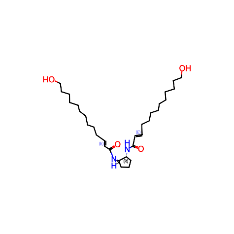 O=C(/C=C/CCCCCCCCCCO)N[C@H]1CCC[C@H]1NC(=O)/C=C/CCCCCCCCCCO